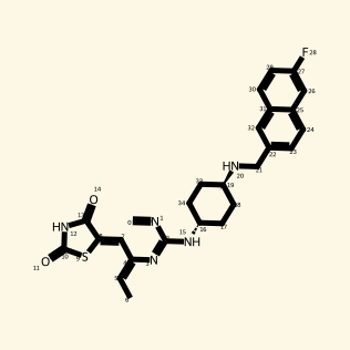 C=N\C(=N/C(=C\C)/C=C1\SC(=O)NC1=O)N[C@H]1CC[C@H](NCc2ccc3cc(F)ccc3c2)CC1